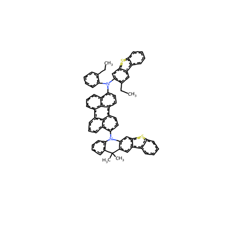 CCc1ccccc1N(c1cc2sc3ccccc3c2cc1CC)c1ccc2c3ccc(N4c5ccccc5C(C)(C)c5cc6c(cc54)sc4ccccc46)c4cccc(c5cccc1c52)c43